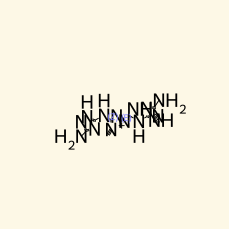 C#[N+]/C(=N\N=C(/N)Nc1nc(N)n[nH]1)Nc1nc(N)n[nH]1